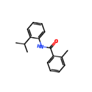 Cc1ccccc1C(=O)Nc1ccccc1C(C)C